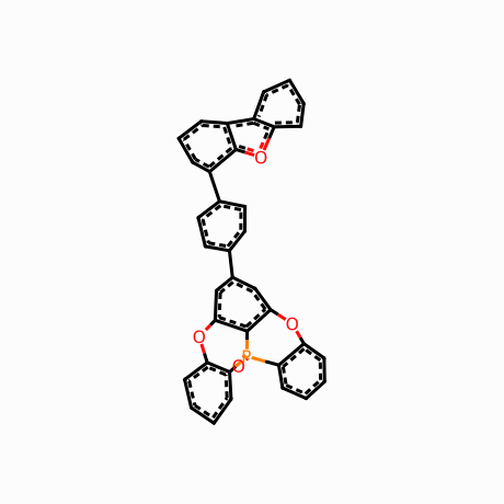 O=P12c3ccccc3Oc3cc(-c4ccc(-c5cccc6c5oc5ccccc56)cc4)cc(c31)Oc1ccccc12